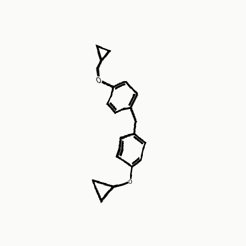 c1cc(OC2CC2)ccc1Cc1ccc(OC2CC2)cc1